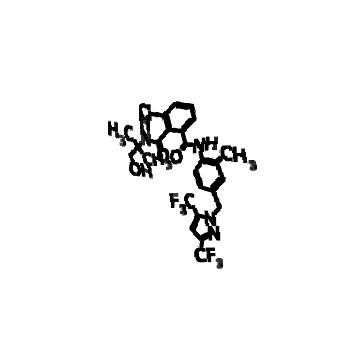 Cc1cc(Cn2nc(C(F)(F)F)cc2C(F)(F)F)ccc1NC(=O)c1cccc(Cl)c1C(=O)NC(C)(C)CO